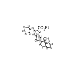 CCOC(=O)[C@@H]1C[C@H](NC(=O)c2ccc3ccccc3c2O)CCN1CC1CCCCC1